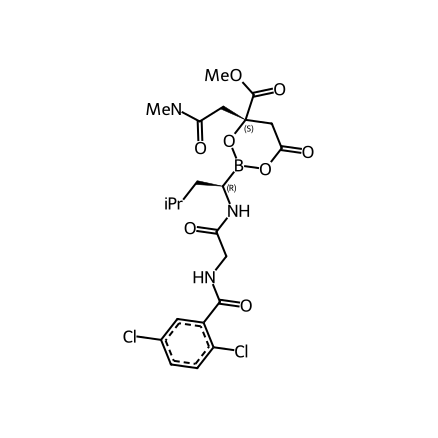 CNC(=O)C[C@@]1(C(=O)OC)CC(=O)OB([C@H](CC(C)C)NC(=O)CNC(=O)c2cc(Cl)ccc2Cl)O1